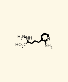 NN[C@@H](CCCc1cccnc1N)C(=O)O